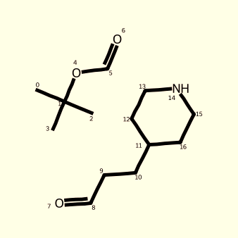 CC(C)(C)OC=O.O=CCCC1CCNCC1